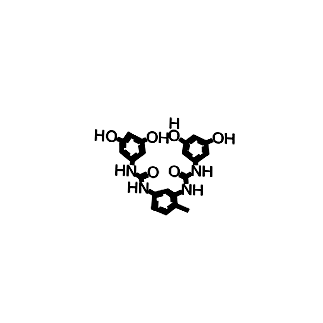 Cc1ccc(NC(=O)Nc2cc(O)cc(O)c2)cc1NC(=O)Nc1cc(O)cc(O)c1